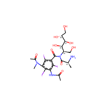 CC(=O)Nc1c(I)c(C(=O)N(C(=O)[C@H](C)N)[C@H](CO)[C@@H](O)[C@H](O)[C@H](O)CO)c(I)c(N(C)C(C)=O)c1I